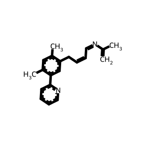 C=C(C)/N=C\C=C/Cc1cc(-c2ccccn2)c(C)cc1C